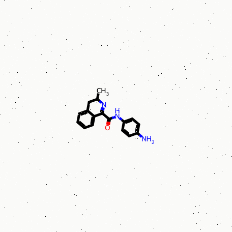 CC1Cc2ccccc2C(C(=O)Nc2ccc(N)cc2)=N1